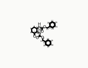 O=C(NC1CCCC(=O)[C@@H]1NC(=O)OCc1ccccc1)OCc1ccccc1